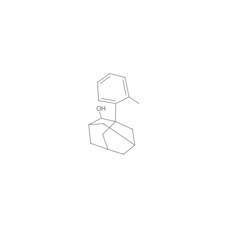 Cc1ccccc1C12CC3CC(CC(C3)C1O)C2